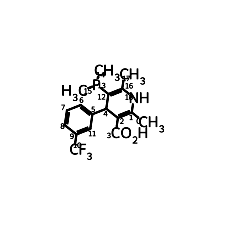 CC1=C(C(=O)O)C(c2cccc(C(F)(F)F)c2)C(P(C)C)=C(C)N1